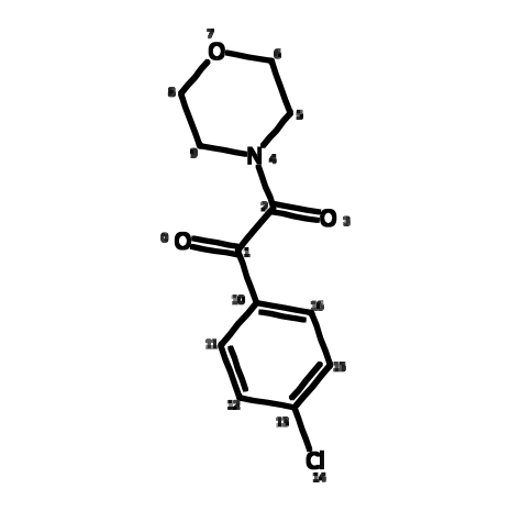 O=C(C(=O)N1CCOCC1)c1ccc(Cl)cc1